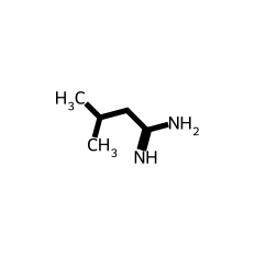 CC(C)CC(=N)N